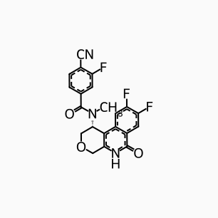 CN(C(=O)c1ccc(C#N)c(F)c1)[C@H]1COCc2[nH]c(=O)c3cc(F)c(F)cc3c21